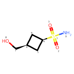 NS(=O)(=O)[C@H]1C[C@@H](CO)C1